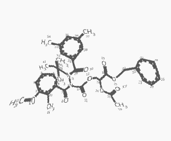 COc1cccc(C(=O)N(C(=O)OC(OC(C)=O)C(=O)OCc2ccccc2)N(C(=O)c2cc(C)cc(C)c2)C(C)(C)C)c1C